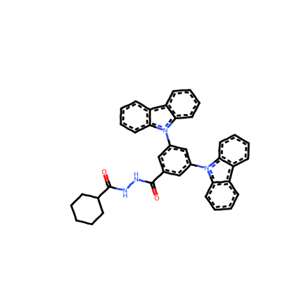 O=C(NNC(=O)C1CCCCC1)c1cc(-n2c3ccccc3c3ccccc32)cc(-n2c3ccccc3c3ccccc32)c1